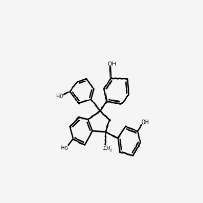 CC1(c2cccc(O)c2)CC(c2cccc(O)c2)(c2cccc(O)c2)c2ccc(O)cc21